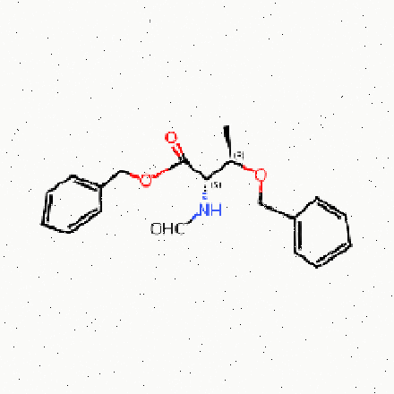 C[C@@H](OCc1ccccc1)[C@H](NC=O)C(=O)OCc1ccccc1